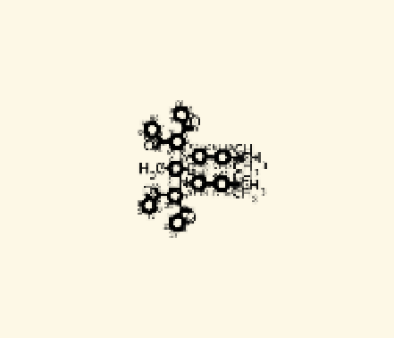 Cc1cc2c3c(c1)N(c1cc(-c4coc5ccccc45)cc(-c4coc5ccccc45)c1)c1ccc(-c4ccc(C(C)(C)C)cc4)cc1B3c1cc(-c3ccc(C(C)(C)C)cc3)ccc1N2c1cc(-c2coc3ccccc23)cc(-c2coc3ccccc23)c1